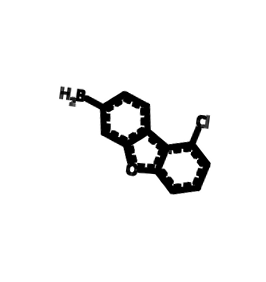 Bc1ccc2c(c1)oc1cccc(Cl)c12